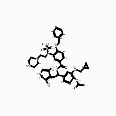 CS(=O)(=O)N(CCN1CCOCC1)c1cc(C(=O)OC(Cc2c(Cl)cncc2Cl)c2ccc(OC(F)F)c(OCC3CC3)c2)ccc1OCc1ccccc1